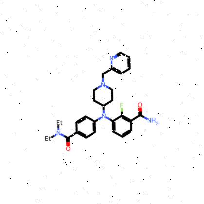 CCN(CC)C(=O)c1ccc(N(c2cccc(C(N)=O)c2F)C2CCN(Cc3ccccn3)CC2)cc1